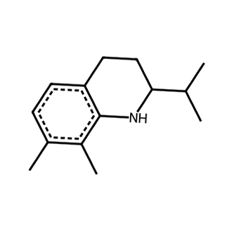 Cc1ccc2c(c1C)NC(C(C)C)CC2